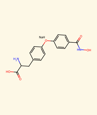 NC(Cc1ccc(Oc2ccc(C(=O)NO)cc2)cc1)C(=O)O.[NaH]